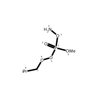 COP(=O)(ON)OOCC(C)C